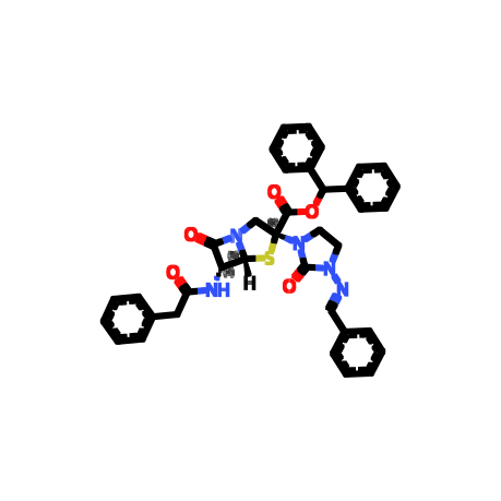 O=C(Cc1ccccc1)N[C@@H]1C(=O)N2C[C@@](C(=O)OC(c3ccccc3)c3ccccc3)(N3CCN(N=Cc4ccccc4)C3=O)S[C@H]12